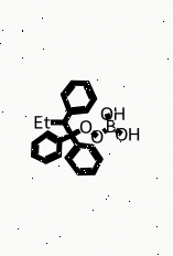 CCC(c1ccccc1)C(OOB(O)O)(c1ccccc1)c1ccccc1